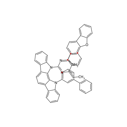 C/C=C(/N=C(\N=C(/N)c1ccc2c(c1)oc1ccccc12)n1c2ccccc2c2ccc3c4ccccc4n(-c4cccc(-c5ccccc5)c4)c3c21)c1ccccc1